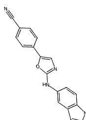 N#Cc1ccc(-c2cnc(Nc3ccc4[nH]ncc4c3)o2)cc1